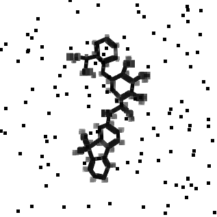 CC(C)c1ccccc1Cc1cc(C(=O)Nc2ccc3c(c2)S(=O)(=O)c2ccccc2-3)c(O)c(O)c1O